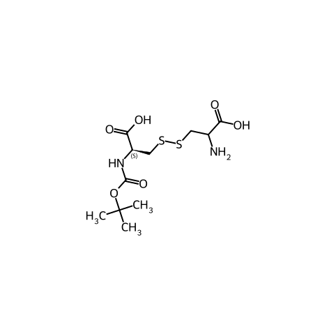 CC(C)(C)OC(=O)N[C@H](CSSCC(N)C(=O)O)C(=O)O